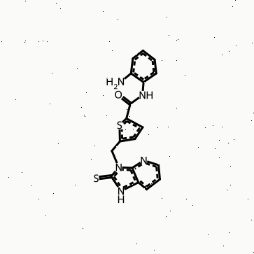 Nc1ccccc1NC(=O)c1ccc(Cn2c(=S)[nH]c3cccnc32)s1